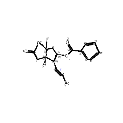 CC(=O)/C=C/[C@H]1[C@@H]2CC(=O)O[C@@H]2C[C@H]1OC(=O)c1ccccc1